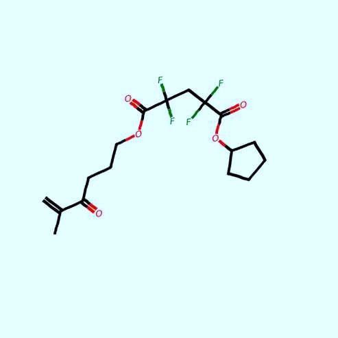 C=C(C)C(=O)CCCOC(=O)C(F)(F)CC(F)(F)C(=O)OC1CCCC1